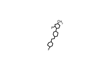 CC1CCC(C2CCC(CCC3CCC(F)CC3)CC2)C(F)C1